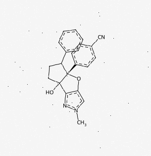 Cn1cc2c(n1)C1(O)CCC(c3ccccc3)[C@]1(c1ccc(C#N)cc1)O2